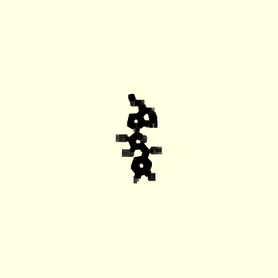 CO/N=C1/N=CNC2C1CCN2[C@@H]1O[C@H]([C@H](O)c2ccc(F)c(Cl)c2)[C@@H](O)[C@H]1O